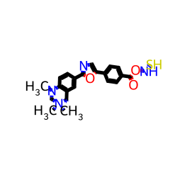 CN1C[N+](C)(C)Cc2cc(-c3ncc(-c4ccc(C(=O)ONS)cc4)o3)ccc21